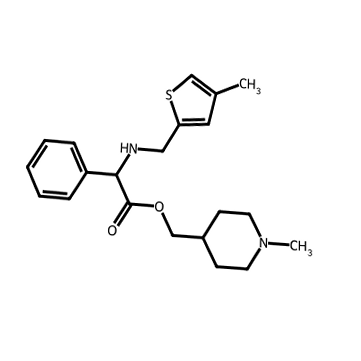 Cc1csc(CNC(C(=O)OCC2CCN(C)CC2)c2ccccc2)c1